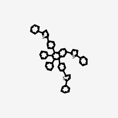 c1ccc(-c2ccc(-c3ccc(-c4c(-c5ccccc5)c(-c5ccccc5)c(-c5ccc(-c6ccc(-c7ccccc7)s6)cc5)c5cc(-c6ccc(-c7ccccc7)s6)ccc45)cc3)s2)cc1